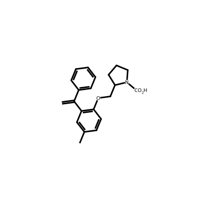 C=C(c1ccccc1)c1cc(C)ccc1OCC1CCCN1C(=O)O